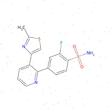 Cc1nc(-c2cccnc2-c2ccc(S(N)(=O)=O)c(F)c2)cs1